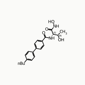 CCCCc1ccc(-c2ccc(C(=O)N[C@H](C(=O)NO)[C@@H](C)O)cc2)cc1